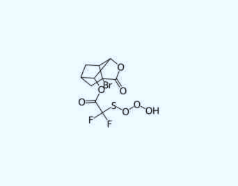 O=C(OC1C2CC3C1OC(=O)C3(Br)C2)C(F)(F)SOOO